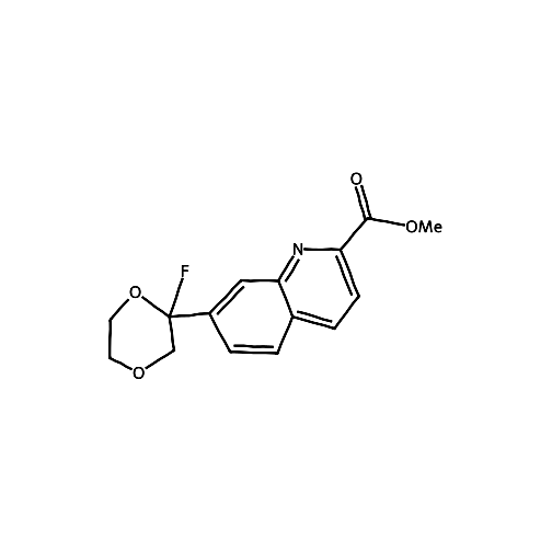 COC(=O)c1ccc2ccc(C3(F)COCCO3)cc2n1